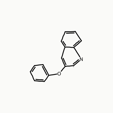 [c]1nc2ccccc2cc1Oc1ccccc1